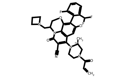 C=CC(=O)N1CCN(c2c(C#N)c(=O)n3c4c(c(-c5c(F)cccc5C(F)F)c(Cl)cc24)OCC3CN2CCC2)[C@@H](C)C1